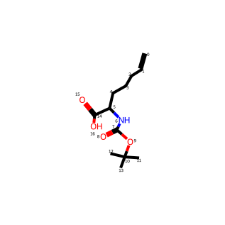 C=CCCCC(NC(=O)OC(C)(C)C)C(=O)O